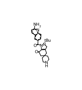 CC(C)(C)N1CC2=C(C(=O)CC3(CCNCC3)C2)N1C(=O)c1ccc2nc(N)ccc2c1